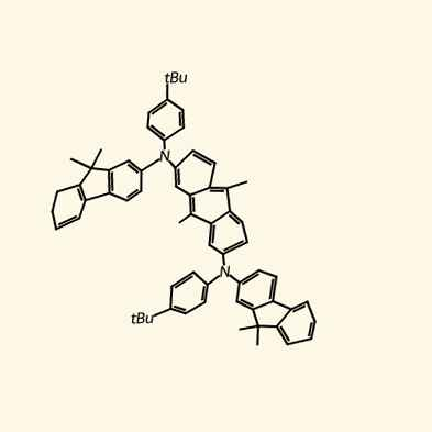 Cc1c2ccc(N(c3ccc(C(C)(C)C)cc3)c3ccc4c(c3)C(C)(C)C3=C4C=CCC3)cc2c(C)c2cc(N(c3ccc(C(C)(C)C)cc3)c3ccc4c(c3)C(C)(C)c3ccccc3-4)ccc12